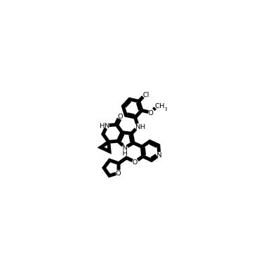 COc1c(Cl)cccc1Nc1c(-c2ccncc2OCC2CCCO2)[nH]c2c1C(=O)NCC21CC1